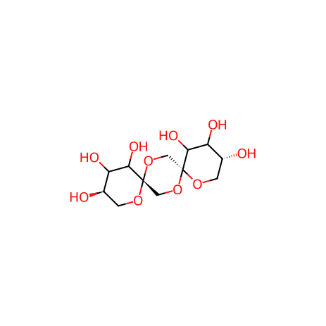 OC1C(O)[C@@]2(CO[C@]3(CO2)OC[C@@H](O)C(O)C3O)OC[C@H]1O